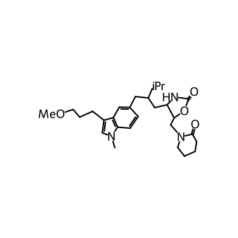 COCCCc1cn(C)c2ccc(CC(CC3NC(=O)OC3CN3CCCCC3=O)C(C)C)cc12